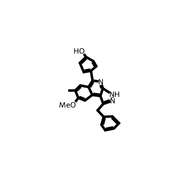 COc1cc2c(cc1C)c(-c1ccc(O)cc1)nc1[nH]nc(Cc3ccccc3)c12